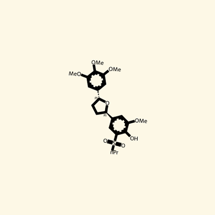 CCCS(=O)(=O)c1cc([C@H]2CC[C@H](c3cc(OC)c(OC)c(OC)c3)O2)cc(OC)c1O